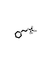 O=P(O)(O)OCCN1CC[CH]CC1